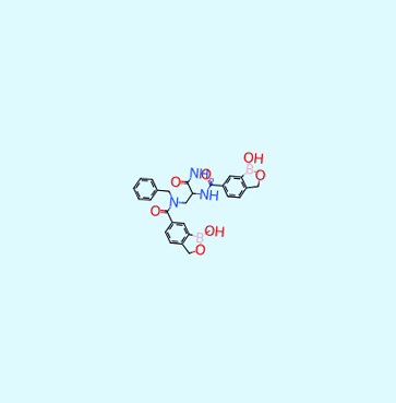 NC(=O)C(CN(Cc1ccccc1)C(=O)c1ccc2c(c1)B(O)OC2)NC(=O)c1ccc2c(c1)B(O)OC2